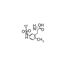 Cc1ccc(NS(=O)(=O)C2CC2)cc1C[C@H](N)C(=O)O